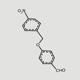 O=Cc1ccc(OCc2ccc([N+](=O)[O-])cc2)cc1